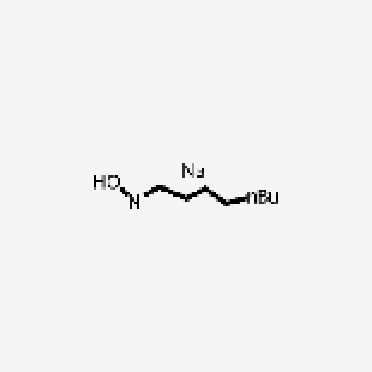 CCCCCCCC[N-]O.[Na+]